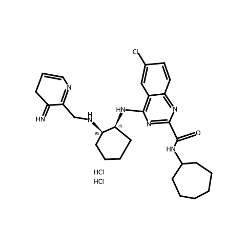 Cl.Cl.N=C1CC=CN=C1CN[C@@H]1CCCC[C@@H]1Nc1nc(C(=O)NC2CCCCCC2)nc2ccc(Cl)cc12